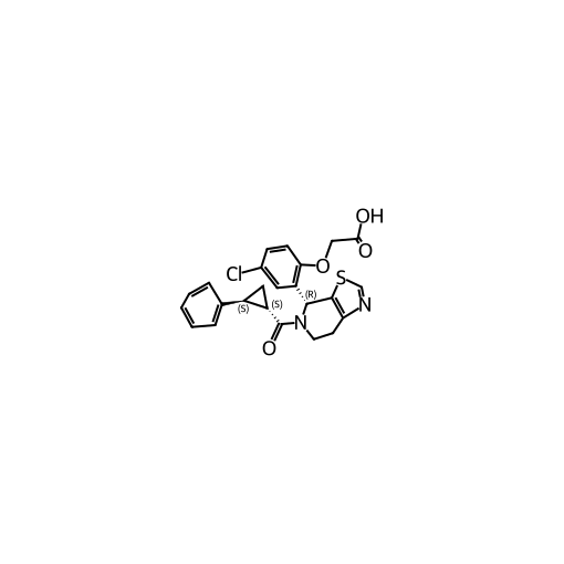 O=C(O)COc1ccc(Cl)cc1[C@@H]1c2scnc2CCN1C(=O)[C@H]1C[C@@H]1c1ccccc1